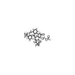 CC(=O)OCOc1c2n(ccc1=O)N([C@@H]1c3ccccc3SCc3c1cccc3C(F)(F)F)CN([C@H](C)C(F)(F)F)C2=O